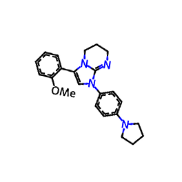 COc1ccccc1C1=CN(c2ccc(N3CCCC3)cc2)C2=NCCCN12